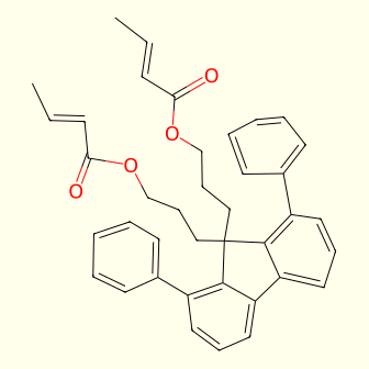 CC=CC(=O)OCCCC1(CCCOC(=O)C=CC)c2c(-c3ccccc3)cccc2-c2cccc(-c3ccccc3)c21